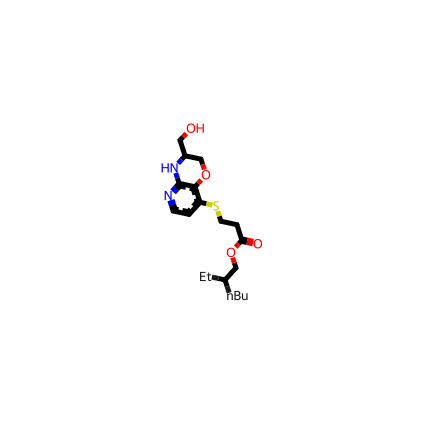 CCCCC(CC)COC(=O)CCSc1ccnc2c1OCC(CO)N2